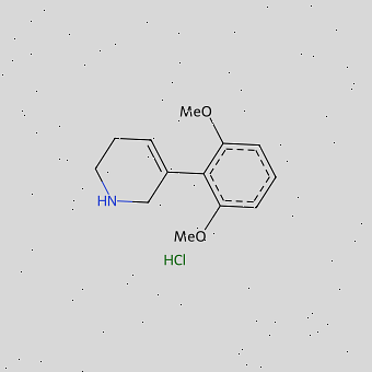 COc1cccc(OC)c1C1=CCCNC1.Cl